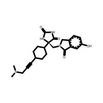 CN(C)CC#CC1CCC([C@]2(CN3Cc4ccc(O)cc4C3=O)NC(=O)NC2=O)CC1